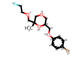 CC1(COCCF)COCC(COc2ccc(Br)cc2)O1